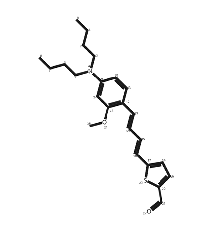 CCCCN(CCCC)c1ccc(/C=C/C=C/c2ccc(C=O)s2)c(OC)c1